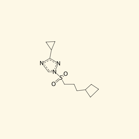 O=S(=O)(CCCC1CCC1)n1cnc(C2CC2)n1